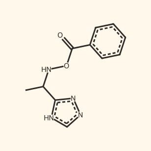 CC(NOC(=O)c1ccccc1)c1nnc[nH]1